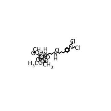 CC(=O)OC[C@H]1O[C@@H](NC(=O)CCCNC(=O)CCCc2ccc(N(CCCl)CCCl)cc2)[C@H](F)[C@@H](OC(C)=O)[C@@H]1OC(C)=O